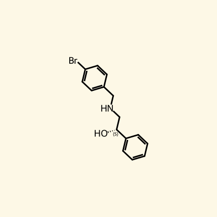 O[C@H](CNCc1ccc(Br)cc1)c1ccccc1